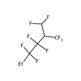 CCC(F)(F)C(F)(F)C(C(F)F)C(F)(F)F